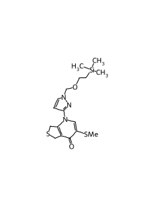 CSc1cn(-c2ccn(COCC[Si](C)(C)C)n2)c2c(c1=O)CSC2